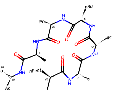 CCCCC[C@H](C)C(=O)N[C@@H](C)C(=O)N[C@H](C(=O)N[C@@H](CCCC)C(=O)N[C@H](C(=O)N[C@@H](C)C(=O)N[C@H](C(C)=O)[C@@H](C)CC)C(C)C)C(C)C